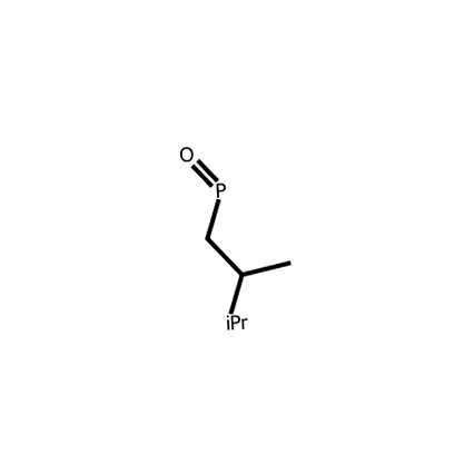 CC(C)C(C)CP=O